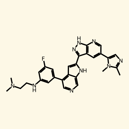 Cc1ncc(-c2cnc3[nH]nc(-c4cc5c(-c6cc(F)cc(NCCN(C)C)c6)cncc5[nH]4)c3c2)n1C